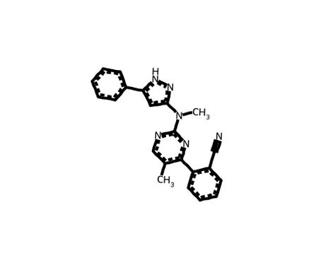 Cc1cnc(N(C)c2cc(-c3ccccc3)[nH]n2)nc1-c1ccccc1C#N